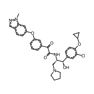 Cn1ncc2ccc(Oc3cccc(C(=O)C(=O)N[C@H](CN4CCCC4)[C@H](O)c4ccc(OC5CC5)c(Cl)c4)c3)cc21